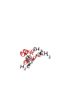 C=C(CCCOCC)C(=O)O.C=C(CCCOCCOCC)C(=O)O